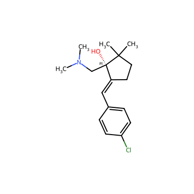 CN(C)C[C@]1(O)C(=Cc2ccc(Cl)cc2)CCC1(C)C